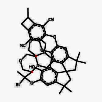 CCC(C)(C)Oc1cc2c(c(CN3CCOCC3)c1O)C1(CC2(C)C)CC(C)(C)c2cc3c(c(CN4CCOCC4)c21)Oc1c(C#N)c2c(c(C#N)c1O3)C(C)C2